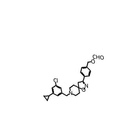 O=COCc1ccc(C2=NOC3(CCN(Cc4cc(Cl)cc(C5CC5)c4)CC3)C2)cc1